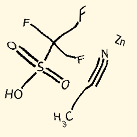 CC#N.O=S(=O)(O)C(F)(F)F.[Zn]